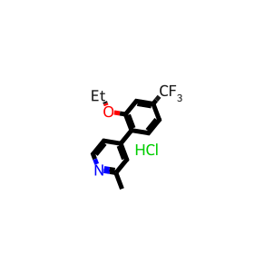 CCOc1cc(C(F)(F)F)ccc1-c1ccnc(C)c1.Cl